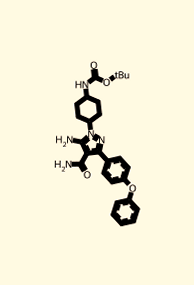 CC(C)(C)OC(=O)NC1CCC(n2nc(-c3ccc(Oc4ccccc4)cc3)c(C(N)=O)c2N)CC1